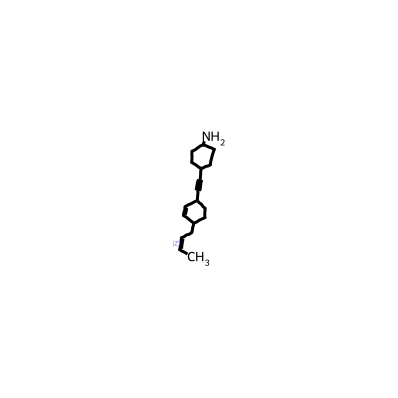 C/C=C\CC1C=CC(C#CC2CCC(N)CC2)CC1